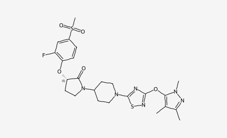 Cc1nn(C)c(Oc2nsc(N3CCC(N4CC[C@H](Oc5ccc(S(C)(=O)=O)cc5F)C4=O)CC3)n2)c1C